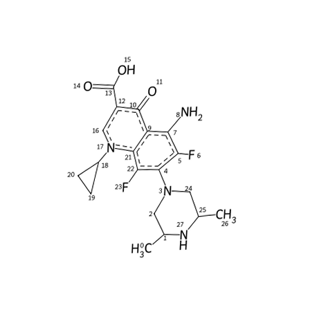 CC1CN(c2c(F)c(N)c3c(=O)c(C(=O)O)cn(C4CC4)c3c2F)CC(C)N1